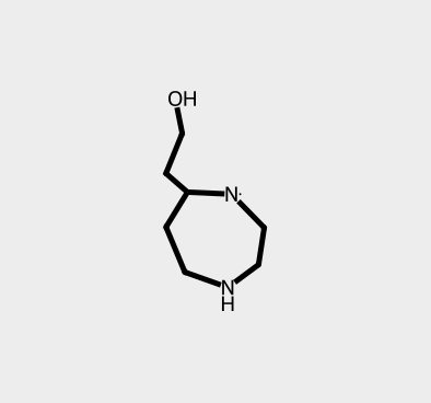 OCCC1CCNCC[N]1